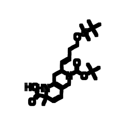 CC(C)(C)OC(=O)N1CC2=C(CC1C=CCCO[Si](C)(C)C(C)(C)C)NC(C)(C(=O)O)C=C2